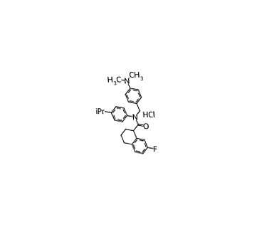 CC(C)c1ccc(N(Cc2ccc(N(C)C)cc2)C(=O)C2CCCc3ccc(F)cc32)cc1.Cl